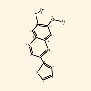 CCOc1cc2ncc(-c3cccs3)nc2cc1OCC